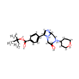 CC(C)(C)OC(=O)c1ccc(-c2cnc3n2CC(=O)N(C2CCOCC2)C3)cc1